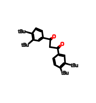 CC(C)(C)c1ccc(C(=O)CC(=O)c2ccc(C(C)(C)C)c(C(C)(C)C)c2)cc1C(C)(C)C